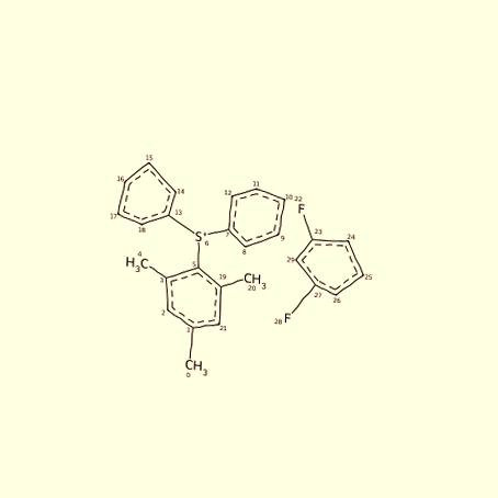 Cc1cc(C)c([S+](c2ccccc2)c2ccccc2)c(C)c1.Fc1cccc(F)c1